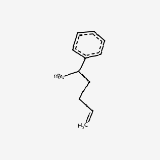 C=CCCC(CCCC)c1ccccc1